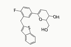 OCC1OC(c2ccc(F)c(Cc3cc4ccccc4s3)c2)=CCC1O